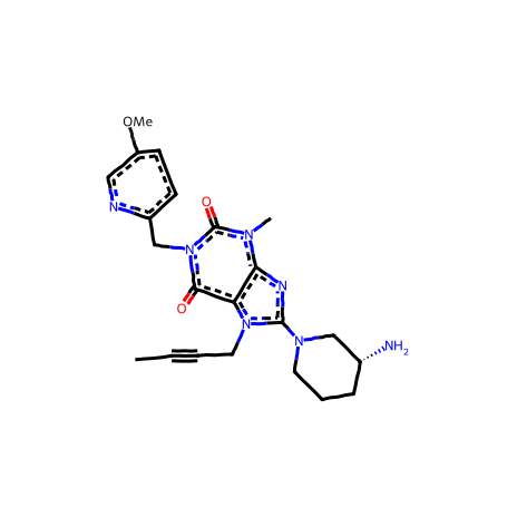 CC#CCn1c(N2CCC[C@@H](N)C2)nc2c1c(=O)n(Cc1ccc(OC)cn1)c(=O)n2C